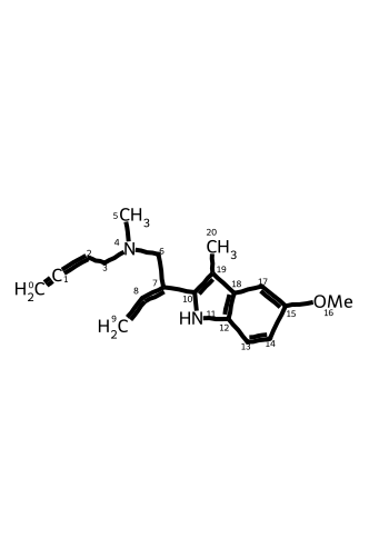 C=C=CCN(C)CC(=C=C)c1[nH]c2ccc(OC)cc2c1C